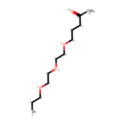 CC(C)CCOCCOCCOCCCC(=O)OCC(C)C